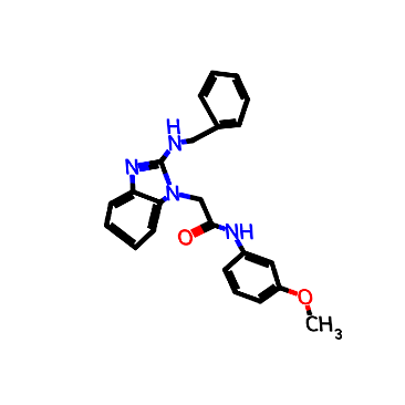 COc1cccc(NC(=O)Cn2c(NCc3ccccc3)nc3ccccc32)c1